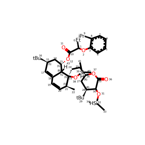 CCC(Oc1ccccc1C(C)C)C(=O)O[C@H]1C[C@H](C(C)(C)C)C=C2C=C[C@H](C)[C@](CC[C@@H]3C[C@H](C(C)(C)C)C(O[SiH](C)C)C(=O)O3)(O[SiH](C)C)[C@H]21